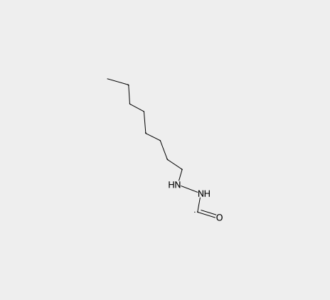 CCCCCCCCNN[C]=O